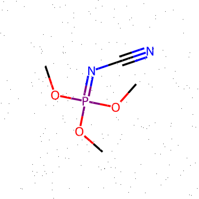 COP(=NC#N)(OC)OC